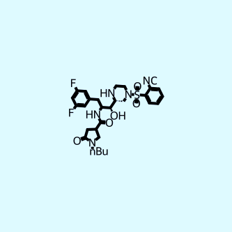 CCCCN1CC(C(=O)NC(Cc2cc(F)cc(F)c2)[C@H](O)[C@H]2CN(S(=O)(=O)c3ccccc3C#N)CCN2)CC1=O